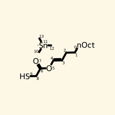 CCCCCCCCCCC=COC(=O)CS.[CH3][Sn]([CH3])[CH3]